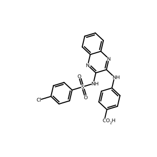 O=C(O)c1ccc(Nc2nc3ccccc3nc2NS(=O)(=O)c2ccc(Cl)cc2)cc1